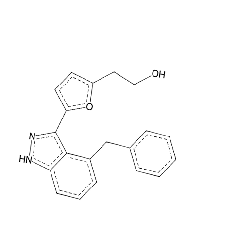 OCCc1ccc(-c2n[nH]c3cccc(Cc4ccccc4)c23)o1